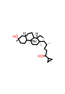 C[C@H](CCC(O)C1CC1)[C@H]1CC[C@H]2C3CC[C@H]4C[C@@](C)(O)CC[C@]4(C)[C@H]3CC[C@]12C